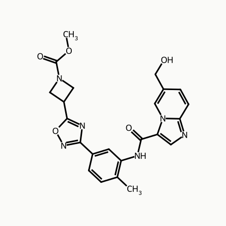 COC(=O)N1CC(c2nc(-c3ccc(C)c(NC(=O)c4cnc5ccc(CO)cn45)c3)no2)C1